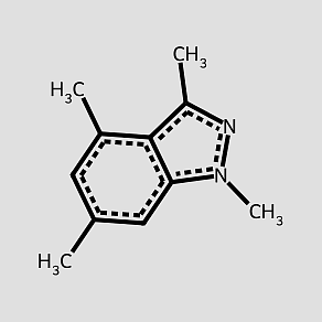 Cc1cc(C)c2c(C)nn(C)c2c1